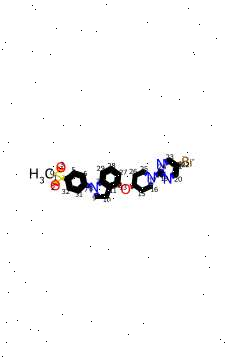 CS(=O)(=O)c1ccc(N2CCc3c(OC4CCN(c5ncc(Br)cn5)CC4)cccc32)cc1